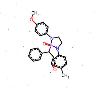 COc1ccc(N2CCN(c3ccc(C)cc3)P2(=O)C(CC=O)c2ccccc2)cc1